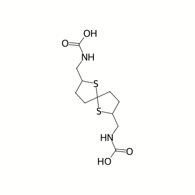 O=C(O)NCC1CCC2(CCC(CNC(=O)O)S2)S1